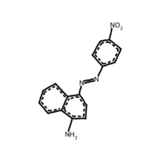 Nc1ccc(N=Nc2ccc([N+](=O)[O-])cc2)c2ccccc12